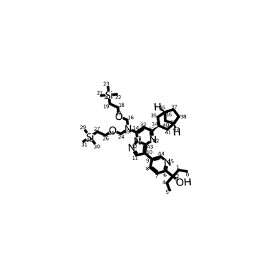 CCC(O)(CC)c1ccc(-c2cnn3c(N(COCC[Si](C)(C)C)COCC[Si](C)(C)C)cc([C@H]4C[C@@H]5CC[C@@H](C5)C4)nc23)cn1